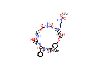 CN[C@@H]1C(=O)N(C)[C@@H](Cc2ccccc2)C(=O)N[C@H]([C@@H](C)O)C(=O)N[C@H](C)COC(=O)CNC(=O)CCC(C)[C@](O)(CNCCCNC(=O)OC(C)(C)C)[C@@H](C)OC2=CC=C1CC2